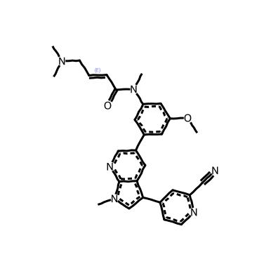 COc1cc(-c2cnc3c(c2)c(-c2ccnc(C#N)c2)cn3C)cc(N(C)C(=O)/C=C/CN(C)C)c1